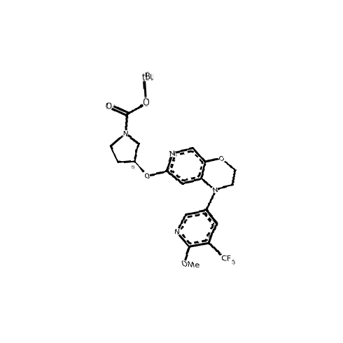 COc1ncc(N2CCOc3cnc(O[C@H]4CCN(C(=O)OC(C)(C)C)C4)cc32)cc1C(F)(F)F